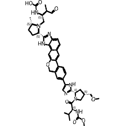 COC[C@H]1C[C@@H](c2ncc(-c3ccc4c(c3)COc3cc5c(ccc6nc([C@@H]7CC[C@H](C)N7C[C@@H](NC(=O)O)C(C)C=O)[nH]c65)cc3-4)[nH]2)N(C(=O)[C@@H](NC(=O)OC)C(C)C)C1